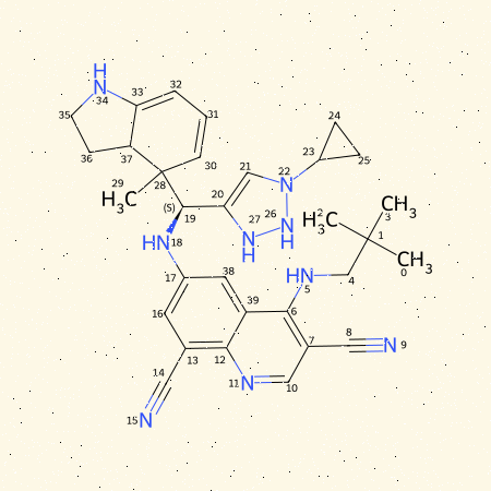 CC(C)(C)CNc1c(C#N)cnc2c(C#N)cc(N[C@H](C3=CN(C4CC4)NN3)C3(C)C=CC=C4NCCC43)cc12